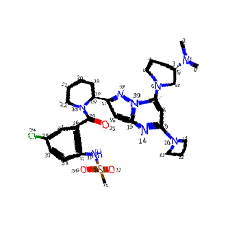 CN(C)[C@H]1CCN(c2cc(N3CCC3)nc3cc([C@@H]4CCCCN4C(=O)c4cc(Cl)ccc4NS(C)(=O)=O)nn23)C1